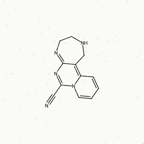 N#CC1=NC2=NCCNCC2=C2C=CC=CN12